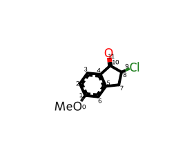 COc1ccc2c(c1)CC(Cl)C2=O